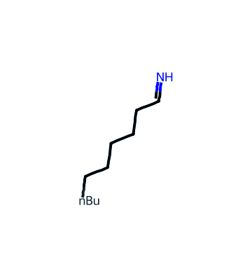 [CH2]CCCCCCCCC=N